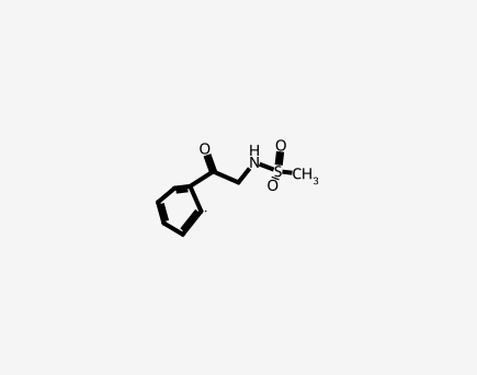 CS(=O)(=O)NCC(=O)c1[c]cccc1